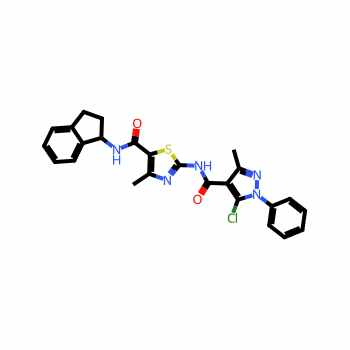 Cc1nc(NC(=O)c2c(C)nn(-c3ccccc3)c2Cl)sc1C(=O)NC1CCc2ccccc21